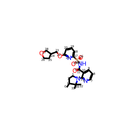 CC1CCN(c2ncccc2C(=O)NS(=O)(=O)c2cccc(OCC3CCOC3)n2)C1(C)C